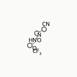 N#Cc1cccc(-c2cccc(C(=O)NCc3ccccc3OC(F)(F)F)n2)c1